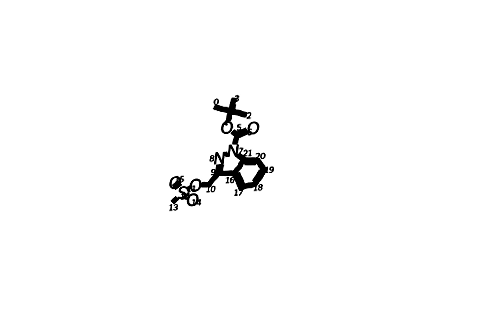 CC(C)(C)OC(=O)n1nc(COS(C)(=O)=O)c2ccccc21